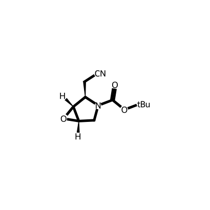 CC(C)(C)OC(=O)N1C[C@@H]2O[C@@H]2[C@H]1CC#N